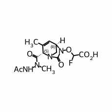 CC(=O)NN(C)C(=O)[C@@H]1C(C)=C[C@@H]2CN1C(=O)N2OC(F)C(=O)O